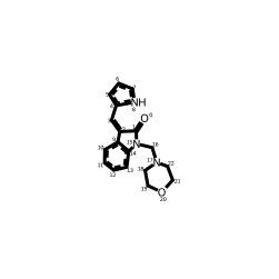 O=C1C(=Cc2ccc[nH]2)c2ccccc2N1CN1CCOCC1